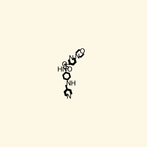 O=S(=O)(N[C@H]1CC[C@H](NCc2ccncc2)CC1)c1ccc(N2CCOCC2)nc1